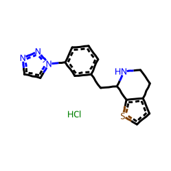 Cl.c1cc(CC2NCCc3ccsc32)cc(-n2ccnn2)c1